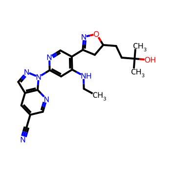 CCNc1cc(-n2ncc3cc(C#N)cnc32)ncc1C1=NOC(CCC(C)(C)O)C1